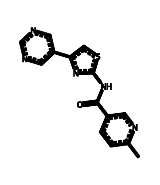 Cc1ccc(C(=O)Nc2nc(-c3cncnc3)cs2)cn1